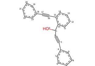 OC(C#Cc1ccccc1)c1ccccc1C#Cc1ccccc1